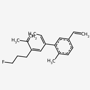 C=Cc1ccc(C)c(C(/C=C(/CCCF)C(=C)C)=C/C)c1